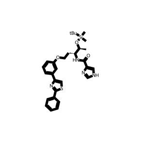 C[C@H](O[Si](C)(C)C(C)(C)C)[C@@H](CCOc1cccc(-c2csc(-c3ccccc3)n2)c1)NC(=O)c1c[nH]cn1